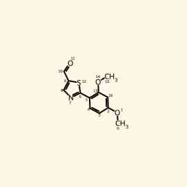 COc1ccc(-c2ncc(C=O)s2)c(OC)c1